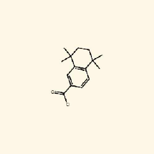 CC1(C)CCC(C)(C)c2cc(C(=O)Cl)ccc21